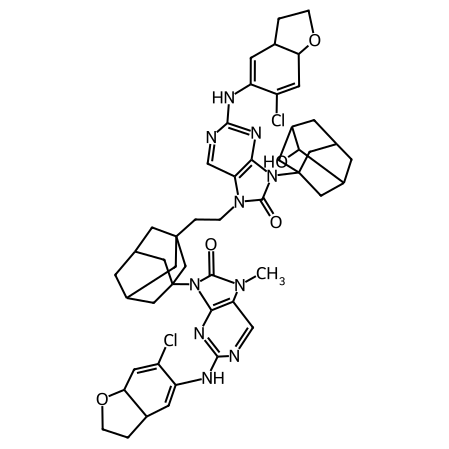 Cn1c(=O)n(C23CC4CC(CC(CCn5c(=O)n(C67CC8CC(C6)C(O)C(C8)C7)c6nc(NC7=CC8CCOC8C=C7Cl)ncc65)(C4)C2)C3)c2nc(NC3=CC4CCOC4C=C3Cl)ncc21